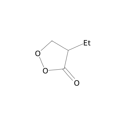 CCC1COOC1=O